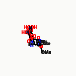 COCCCOc1cc(CC(CC(NC(=O)OCCCON(O)O)C(CC(C(=O)NCC(C)C)C(C)C)OC(=O)OCCCON(O)O)C(C)C)ccc1OC